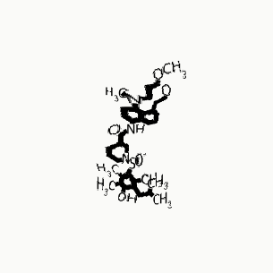 COCCCN(C)c1ccc(NC(=O)C2CCCN([S+]([O-])c3c(C)c(C)c(O)c(CC(C)C)c3C)C2)c2cccc(CC=O)c12